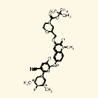 C[C@@H]1CN(c2nc(Nc3ccc4c(c3)cc(OCC3CN(C(=O)OC(C)(C)C)CCO3)c(=O)n4C)c(Cl)cc2C#N)C[C@H](C)C1F